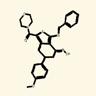 COc1ccc(C2C/C(=N\O)c3c(SCc4ccccc4)sc(C(=O)N4CCOCC4)c3C2)cc1